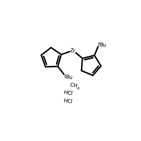 C.CC(C)(C)C1=[C]([Zr][C]2=C(C(C)(C)C)C=CC2)CC=C1.Cl.Cl